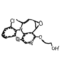 CC1=CC2OC2c2c(OCCO)ncc(Cl)c2N1c1c(Cl)cccc1Cl